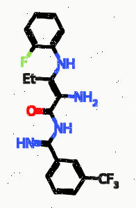 CC/C(Nc1ccccc1F)=C(/N)C(=O)NC(=N)c1cccc(C(F)(F)F)c1